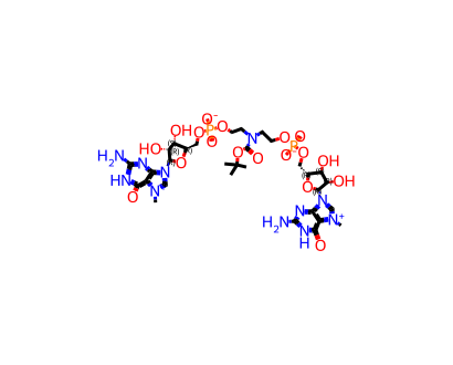 C[n+]1cn([C@@H]2O[C@H](COP(=O)([O-])OCCN(CCOP(=O)([O-])OC[C@H]3O[C@@H](n4c[n+](C)c5c(=O)[nH]c(N)nc54)[C@H](O)[C@@H]3O)C(=O)OC(C)(C)C)[C@@H](O)[C@H]2O)c2nc(N)[nH]c(=O)c21